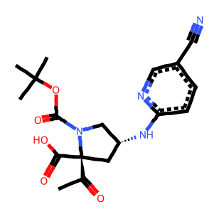 CC(=O)[C@]1(C(=O)O)C[C@@H](Nc2ccc(C#N)cn2)CN1C(=O)OC(C)(C)C